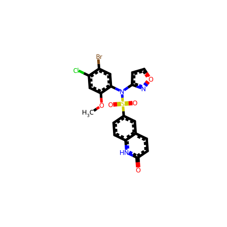 COc1cc(Cl)c(Br)cc1N(c1ccon1)S(=O)(=O)c1ccc2[nH]c(=O)ccc2c1